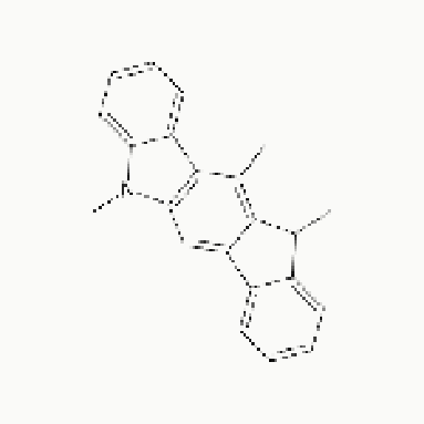 Cc1c2c(cc3c1c1ccccc1n3C)-c1ccccc1C2C